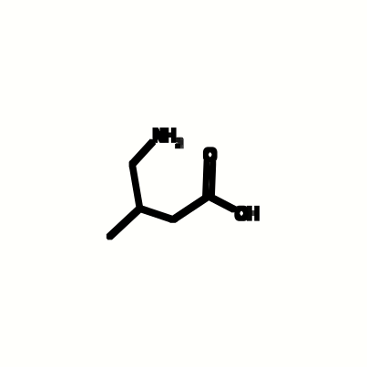 CC(CN)CC(=O)O